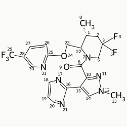 C[C@@H]1CC(F)(F)CN(C(=O)c2nn(C)cc2-c2ncccn2)C1COc1ccc(C(F)(F)F)cn1